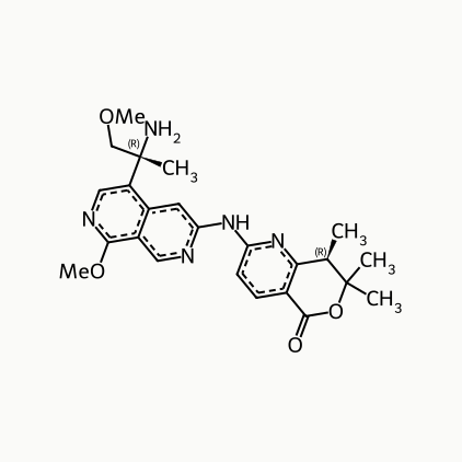 COC[C@](C)(N)c1cnc(OC)c2cnc(Nc3ccc4c(n3)[C@@H](C)C(C)(C)OC4=O)cc12